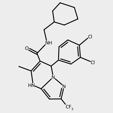 CC1=C(C(=O)NCC2CCCCC2)C(c2ccc(Cl)c(Cl)c2)n2nc(C(F)(F)F)cc2N1